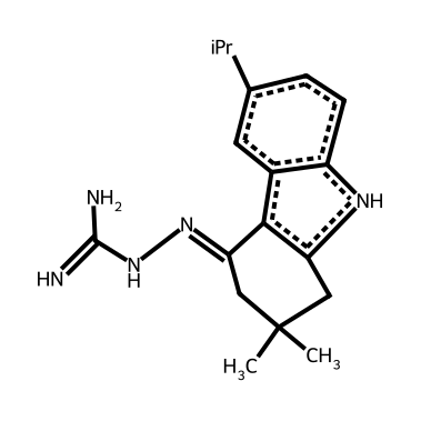 CC(C)c1ccc2[nH]c3c(c2c1)C(=NNC(=N)N)CC(C)(C)C3